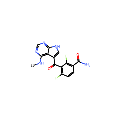 CCNc1ncnc2[nH]cc(C(=O)c3c(F)ccc(C(N)=O)c3F)c12